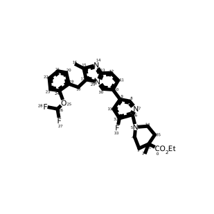 CCOC(=O)C1(C)CCN(c2ncc(-c3ccc4nc(C)c(Cc5ccccc5OC(F)F)n4c3)cc2F)CC1